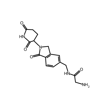 NCC(=O)NCc1ccc2c(c1)CN(C1CCC(=O)NC1=O)C2=O